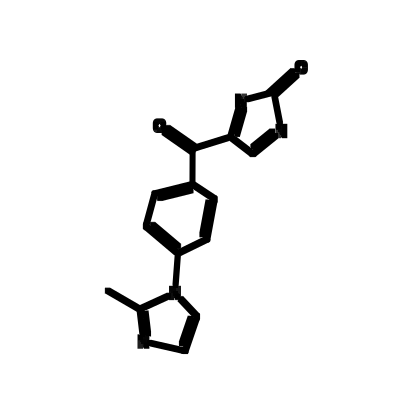 Cc1nccn1-c1ccc(C(=O)C2=NC(=O)N=C2)cc1